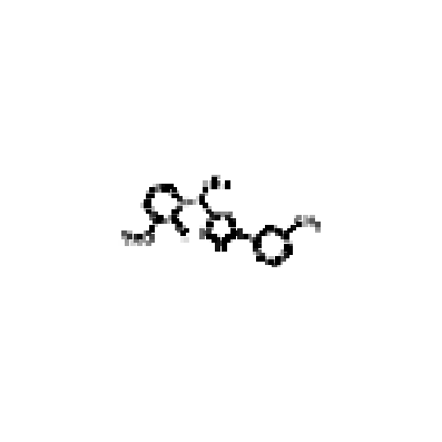 CCCCC(c1cn(-c2cccc(C)c2)nn1)n1cccc(OC)c1=S